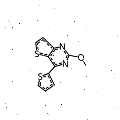 COc1nc(-c2cccs2)c2sccc2n1